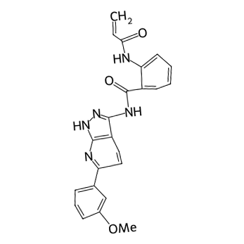 C=CC(=O)Nc1ccccc1C(=O)Nc1n[nH]c2nc(-c3cccc(OC)c3)ccc12